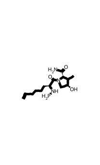 C=CCCCC[C@H](NP)C(=O)N1C[C@H](O)C(C)[C@H]1C(N)=O